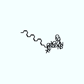 CC/C=C\C/C=C\C/C=C\C/C=C\C/C=C\C/C=C\CCC(=O)N(C[C@@H](COc1nsnc1N1CCOCC1)OC(C)=O)C(C)(C)C